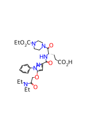 CCOC(=O)N1CCN(C(=O)[C@H](CCC(=O)O)NC(=O)c2cc(OCC(=O)N(CC)CC)n(-c3ccccc3)n2)CC1